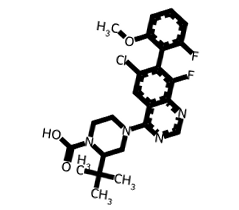 COc1cccc(F)c1-c1c(Cl)cc2c(N3CCN(C(=O)O)C(C(C)(C)C)C3)ncnc2c1F